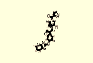 O=C(c1ccno1)N1C[C@@H]2C[C@H]1CN2Cc1coc2cc(Oc3nc4ncccc4s3)ccc12